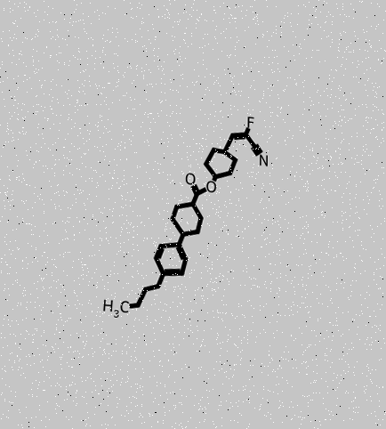 CCCCc1ccc(C2CCC(C(=O)OC3CCC(/C=C(/F)C#N)CC3)CC2)cc1